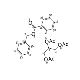 CC(=O)OCC(COC(C)=O)OC(C)=O.O=C(OCc1ccccc1)c1ccccc1